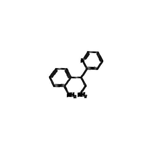 NCC(c1ccccn1)c1ccccc1N